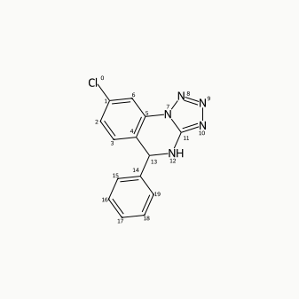 Clc1ccc2c(c1)-n1nnnc1NC2c1ccccc1